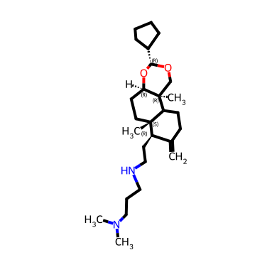 C=C1CCC2[C@]3(C)CO[C@@H](C4CCCC4)O[C@@H]3CC[C@@]2(C)[C@@H]1CCNCCCN(C)C